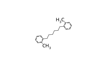 Cc1ccccc1CCCCCCc1ccccc1C